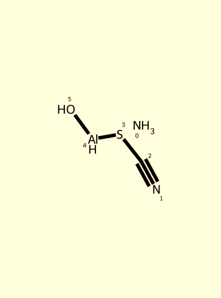 N.N#C[S][AlH][OH]